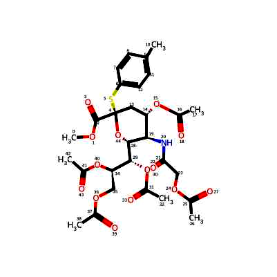 COC(=O)[C@]1(Sc2ccc(C)cc2)C[C@H](OC(C)=O)[C@@H](NC(=O)COC(C)=O)[C@H]([C@H](OC(C)=O)[C@@H](COC(C)=O)OC(C)=O)O1